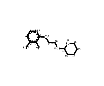 Fc1c(Cl)ccnc1OCCOC1CCCCO1